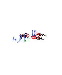 COC(=O)CCC(NC(=O)Cc1cccc(NC(=O)c2cc(NC(=O)c3cc(N)cn3C)cn2C)c1)C(=O)OC.Cl